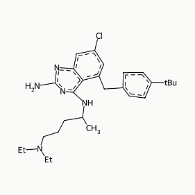 CCN(CC)CCCC(C)Nc1nc(N)nc2cc(Cl)cc(Cc3ccc(C(C)(C)C)cc3)c12